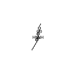 CCCCCCCCCc1ccc2c(c1)CNC(c1ccc(OC(=O)[C@H]3CC[C@H](CCC)CC3)cc1)N2